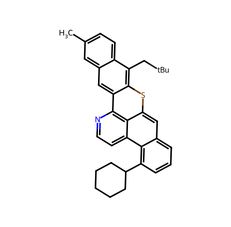 Cc1ccc2c(CC(C)(C)C)c3c(cc2c1)-c1nccc2c1c(cc1cccc(C4CCCCC4)c12)S3